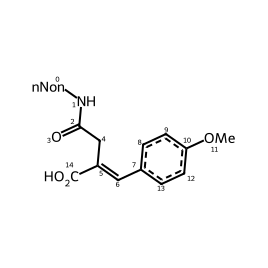 CCCCCCCCCNC(=O)CC(=Cc1ccc(OC)cc1)C(=O)O